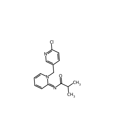 CC(C)C(=O)/N=c1/ccccn1Cc1ccc(Cl)nc1